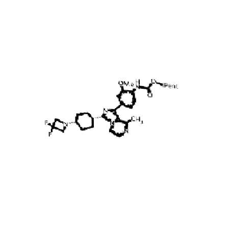 CCCC(C)OC(=O)Nc1ccc(-c2nc([C@H]3CC[C@@H](N4CC(F)(F)C4)CC3)n3ccnc(C)c23)cc1OC